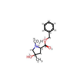 CC1(O)CC(C(=O)OCc2ccccc2)N(C(=O)O)C1